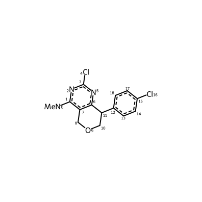 CNc1nc(Cl)nc2c1COCC2c1ccc(Cl)cc1